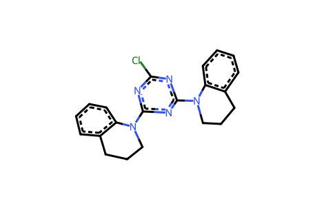 Clc1nc(N2CCCc3ccccc32)nc(N2CCCc3ccccc32)n1